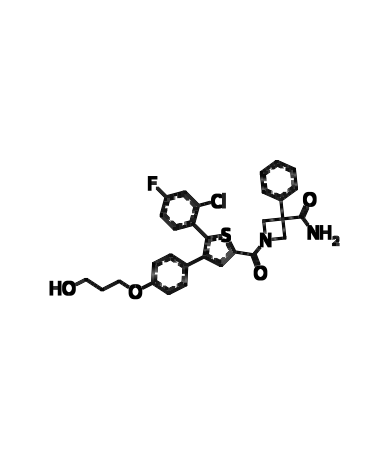 NC(=O)C1(c2ccccc2)CN(C(=O)c2cc(-c3ccc(OCCCO)cc3)c(-c3ccc(F)cc3Cl)s2)C1